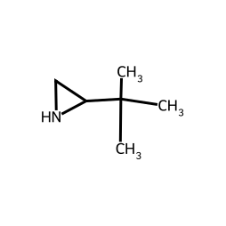 CC(C)(C)C1CN1